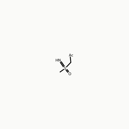 CC(=O)CS(C)(=N)=O